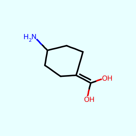 NC1CCC(=C(O)O)CC1